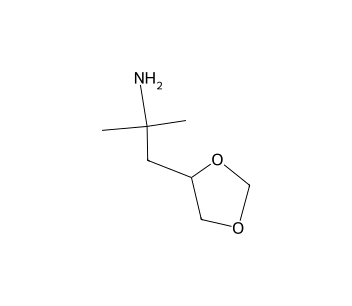 CC(C)(N)CC1COCO1